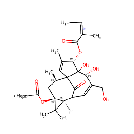 C/C=C(/C)C(=O)O[C@H]1C(C)=CC23C(=O)C(C=C(CO)[C@@H](O)C12O)[C@H]1C(C)(C)[C@]1(OC(=O)CCCCCCC)C[C@H]3C